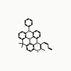 C=C/C=C\C1=C(C)Sc2ccc3c4c2B1c1cccc2c1B4c1c(cccc1C3(C)C)N2c1ccccc1